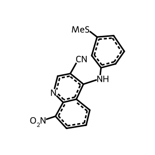 CSc1cccc(Nc2c(C#N)cnc3c([N+](=O)[O-])cccc23)c1